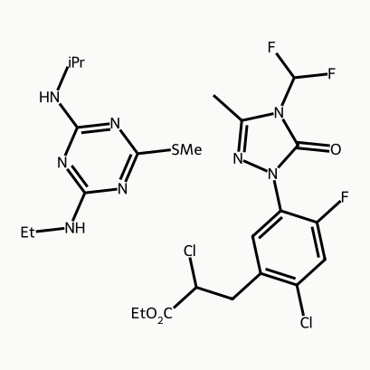 CCNc1nc(NC(C)C)nc(SC)n1.CCOC(=O)C(Cl)Cc1cc(-n2nc(C)n(C(F)F)c2=O)c(F)cc1Cl